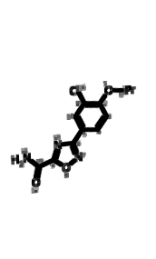 CC(C)Oc1ccc(-c2noc(C(N)=O)n2)cc1Cl